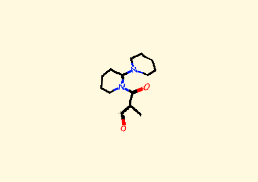 CC([C]=O)C(=O)N1CCCCC1N1CCCCC1